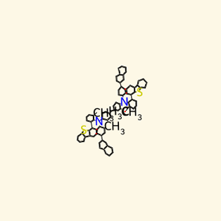 Cc1cc(-c2ccc(N(c3ccc(-c4ccc5ccccc5c4)cc3)c3c(C)cccc3-c3cccc4c3sc3ccccc34)c(C)c2)ccc1N(c1ccc(-c2ccc3ccccc3c2)cc1)c1c(C)cccc1-c1cccc2c1sc1ccccc12